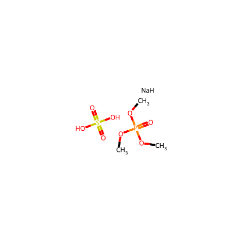 COP(=O)(OC)OC.O=S(=O)(O)O.[NaH]